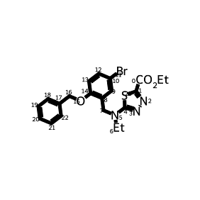 CCOC(=O)c1nnc(N(CC)Cc2cc(Br)ccc2OCc2ccccc2)s1